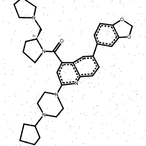 O=C(c1cc(N2CCN(C3CCCC3)CC2)nc2ccc(-c3ccc4c(c3)OCO4)cc12)N1CCC[C@H]1CN1CCCC1